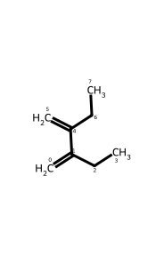 C=C(CC)C(=C)CC